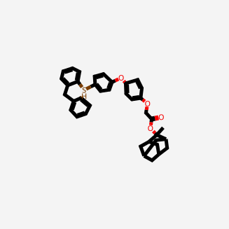 CC1(OC(=O)COc2ccc(Oc3ccc([SH]4c5ccccc5Cc5ccccc54)cc3)cc2)C2CC3CC(C2)CC1C3